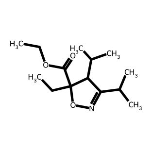 CCOC(=O)C1(CC)ON=C(C(C)C)C1C(C)C